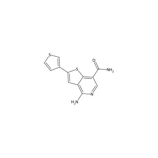 NC(=O)c1cnc(N)c2cc(-c3ccsc3)sc12